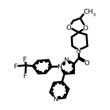 CC1COC2(CCN(C(=O)c3cc(-c4ccncc4)n(-c4ccc(C(F)(F)F)cc4)n3)CC2)O1